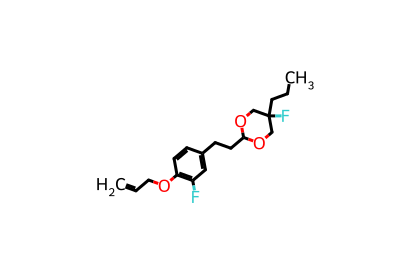 C=CCOc1ccc(CCC2OCC(F)(CCC)CO2)cc1F